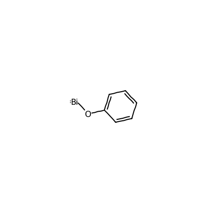 [Bi][O]c1ccccc1